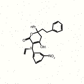 C=C[C@@H](C1=C(O)CC(CCC)(CCc2ccccc2)OC1=O)c1cccc([N+](=O)[O-])c1